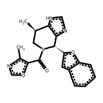 Cc1ncoc1C(=O)N1C[C@@H](C)c2[nH]cnc2[C@@H]1c1cc2ccccc2o1